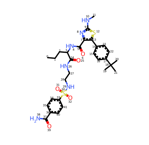 CCCC(NC(=O)c1nc(NC)sc1-c1ccc(C(C)(C)C)cc1)C(=O)NCCNS(=O)(=O)c1ccc(C(N)=O)cc1